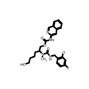 CN(C(=O)NCc1ccc(F)cc1Cl)C(CCCCO)COC(=O)Nc1cc2ccccc2cn1